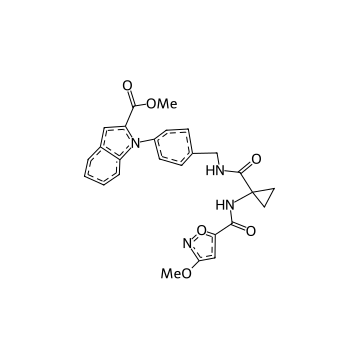 COC(=O)c1cc2ccccc2n1-c1ccc(CNC(=O)C2(NC(=O)c3cc(OC)no3)CC2)cc1